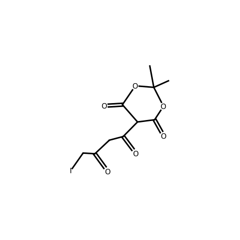 CC1(C)OC(=O)C(C(=O)CC(=O)CI)C(=O)O1